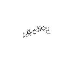 CC(C)c1ccccc1-c1ncc2c(n1)N(Cc1ccc(-c3nc(C(F)(F)F)cn3C)cc1)C(=O)C2